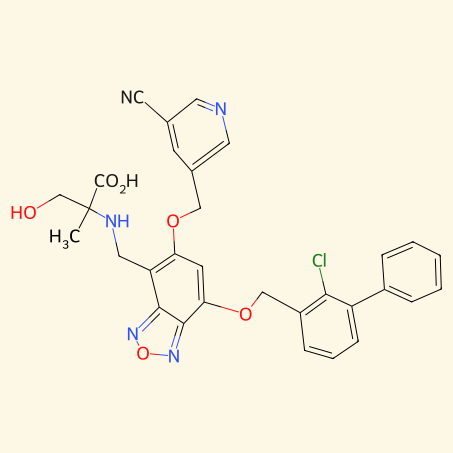 CC(CO)(NCc1c(OCc2cncc(C#N)c2)cc(OCc2cccc(-c3ccccc3)c2Cl)c2nonc12)C(=O)O